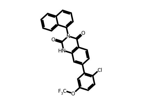 O=c1[nH]c2cc(-c3cc(OC(F)(F)F)ccc3Cl)ccc2c(=O)n1-c1cccc2ccccc12